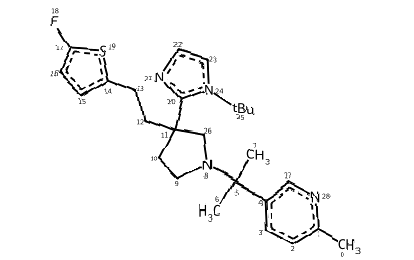 Cc1ccc(C(C)(C)N2CCC(CCc3ccc(F)s3)(c3nccn3C(C)(C)C)C2)cn1